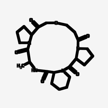 CC1NC(=O)C2CCCCN2C(=O)C2CCCN2C(=O)CCOCC(=O)C2CCCN2C1=O